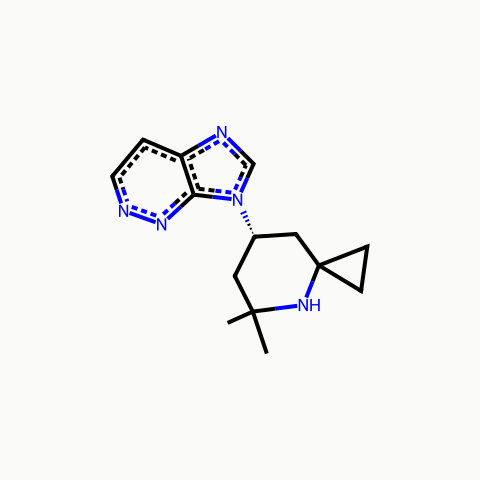 CC1(C)C[C@H](n2cnc3ccnnc32)CC2(CC2)N1